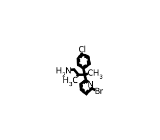 CC(CN)C(C)(c1ccc(Cl)cc1)c1cccc(Br)n1